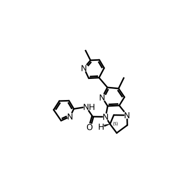 Cc1ccc(-c2nc3c(cc2C)N2CC[C@@H](C2)N3C(=O)Nc2ccccn2)cn1